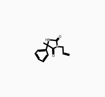 C=CCN1C(=O)NC(C)(c2ccccc2)C1=O